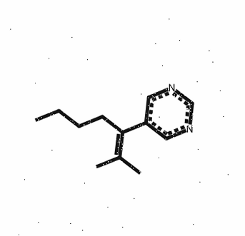 CCCCC(=C(C)C)c1cncnc1